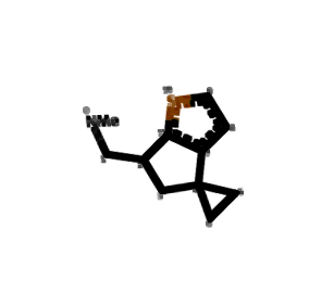 CNCC1CC2(CC2)c2ccsc21